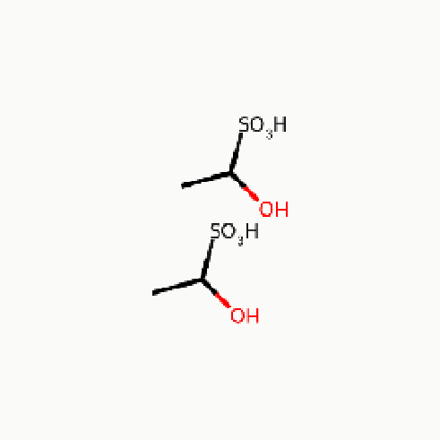 CC(O)S(=O)(=O)O.CC(O)S(=O)(=O)O